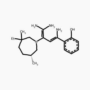 CCC1(C)CC[C@@H](C)CN(C(/C=C(\N)c2ccccc2O)=C(N)N)C1